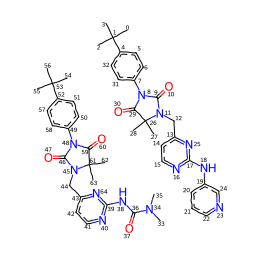 CC(C)(C)c1ccc(N2C(=O)N(Cc3ccnc(Nc4cccnc4)n3)C(C)(C)C2=O)cc1.CN(C)C(=O)Nc1nccc(CN2C(=O)N(c3ccc(C(C)(C)C)cc3)C(=O)C2(C)C)n1